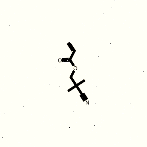 C=CC(=O)OCC(C)(C)C#N